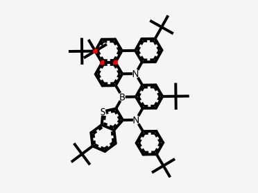 CC(C)(C)c1ccc(-c2cc(C(C)(C)C)ccc2N2c3cc(C(C)(C)C)ccc3B3c4sc5cc(C(C)(C)C)ccc5c4N(c4ccc(C(C)(C)C)cc4)c4cc(C(C)(C)C)cc2c43)cc1